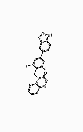 O=c1cnc2cccnc2n1Cc1c(F)cc(-c2ccc3[nH]ncc3c2)cc1F